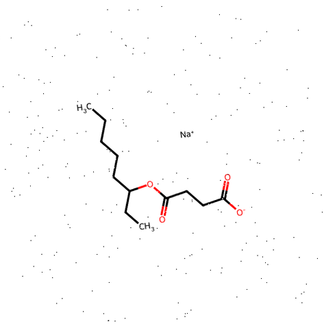 CCCCCC(CC)OC(=O)CCC(=O)[O-].[Na+]